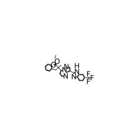 CCOC(=O)C(C)(Cc1ccccc1)c1ccnc2c(-c3nc4ccc(C(F)(F)F)cc4[nH]3)cnn12